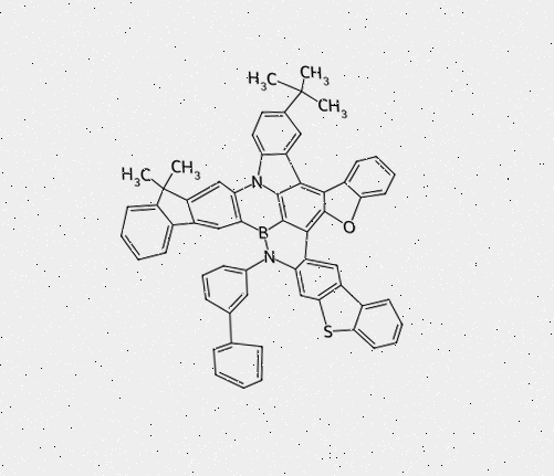 CC(C)(C)c1ccc2c(c1)c1c3c(oc4ccccc43)c3c4c1n2-c1cc2c(cc1B4N(c1cccc(-c4ccccc4)c1)c1cc4sc5ccccc5c4cc1-3)-c1ccccc1C2(C)C